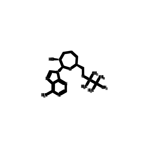 CC(C)(C)[Si](C)(C)OC[C@@H]1CCC[C@@H](O)[C@H](n2cnc3c(N)ncnc32)O1